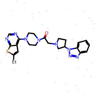 CCc1cc2c(N3CCN(C(=O)CN4CCC(n5nnc6ccccc65)C4)CC3)ncnc2s1